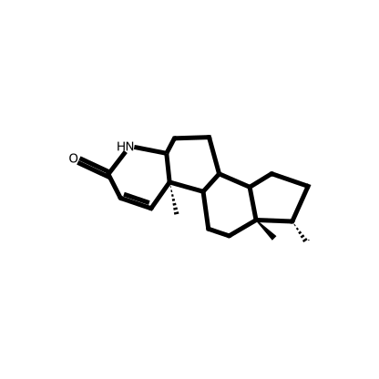 [CH2][C@H]1CCC2C3CCC4NC(=O)C=C[C@]4(C)C3CC[C@]21C